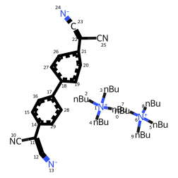 CCCC[N+](CCCC)(CCCC)CCCC.CCCC[N+](CCCC)(CCCC)CCCC.N#CC(=C=[N-])c1ccc(-c2ccc(C(=C=[N-])C#N)cc2)cc1